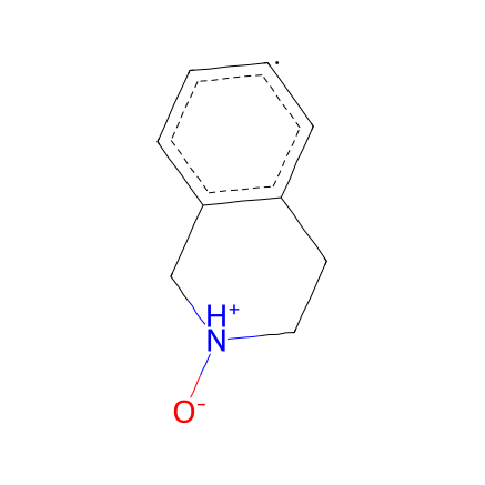 [O-][NH+]1CCc2c[c]ccc2C1